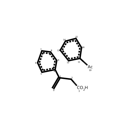 C=C(CC(=O)O)c1ccccc1.CC(=O)c1ccccc1